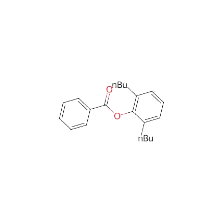 CCCCc1cccc(CCCC)c1OC(=O)c1ccccc1